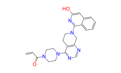 C=CC(=O)N1CCN(c2ncnc3c2CCN(c2nc(O)cc4ccccc24)C3)CC1